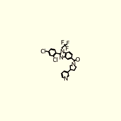 O=C(c1ccc2c(c1)nc(-c1ccc(Cl)cc1Cl)n2CC(F)(F)F)N1CCC(c2cccnc2)C1